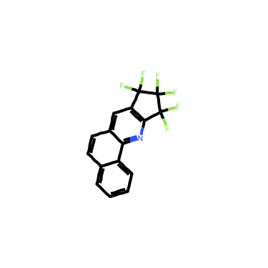 FC1(F)c2cc3ccc4ccccc4c3nc2C(F)(F)C1(F)F